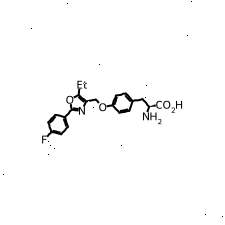 CCc1oc(-c2ccc(F)cc2)nc1COc1ccc(C[C@H](N)C(=O)O)cc1